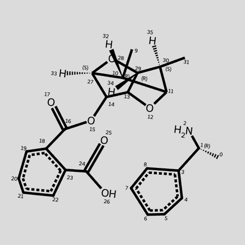 C[C@@H](N)c1ccccc1.C[C@@H]1C2OC3C(OC(=O)c4ccccc4C(=O)O)[C@H]1O[C@@H]3[C@H]2C